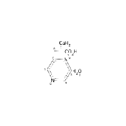 CC(=O)O.O.[CaH2].c1cnccn1